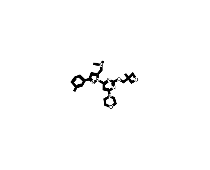 Cc1cccc(-c2cc(CN(C)C)n(-c3cc(N4CCOCC4)nc(OCC4(C)COC4)n3)n2)c1